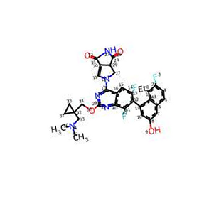 CCc1c(F)ccc2cc(O)cc(-c3c(F)cc4c(N5C=C6C(=O)NC(=O)C6C5)nc(OCC5(CN(C)C)CC5)nc4c3F)c12